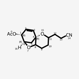 CC(=O)O[C@@H]1C=C[C@]23C[C@H]1OC2CCC(CCC#N)O3